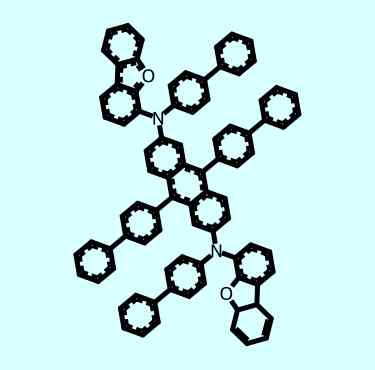 C1=CC2Oc3c(cccc3N(c3ccc(-c4ccccc4)cc3)c3ccc4c(-c5ccc(-c6ccccc6)cc5)c5cc(N(c6ccc(-c7ccccc7)cc6)c6cccc7c6oc6ccccc67)ccc5c(-c5ccc(-c6ccccc6)cc5)c4c3)C2C=C1